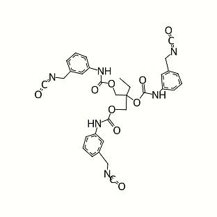 CCC(COC(=O)Nc1cccc(CN=C=O)c1)(COC(=O)Nc1cccc(CN=C=O)c1)OC(=O)Nc1cccc(CN=C=O)c1